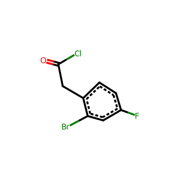 O=C(Cl)Cc1ccc(F)cc1Br